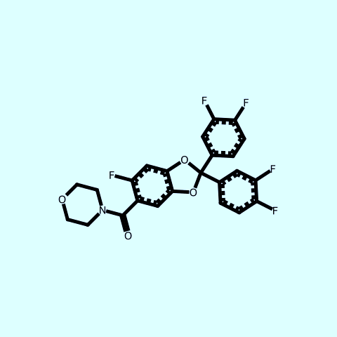 O=C(c1cc2c(cc1F)OC(c1ccc(F)c(F)c1)(c1ccc(F)c(F)c1)O2)N1CCOCC1